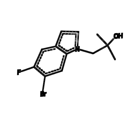 CC(C)(O)Cn1ccc2cc(F)c(Br)cc21